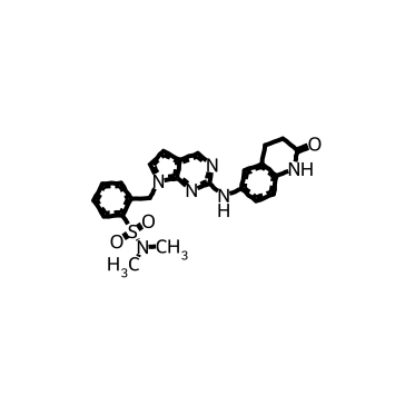 CN(C)S(=O)(=O)c1ccccc1Cn1ccc2cnc(Nc3ccc4c(c3)CCC(=O)N4)nc21